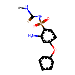 CC(C)NC(=S)NS(=O)(=O)c1ccc(Oc2ccccc2)cc1N